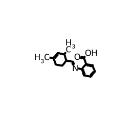 CC1=CC(C)C(/C=N/c2ccccc2C(=O)O)CC1